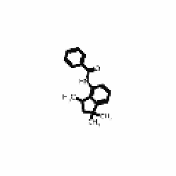 CC1CC(C)(C)c2cccc(NC(=O)c3ccccc3)c21